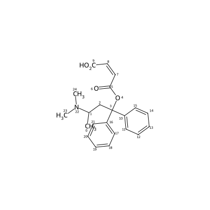 CC(CC(OC(=O)/C=C\C(=O)O)(c1ccccc1)c1ccccc1)N(C)C